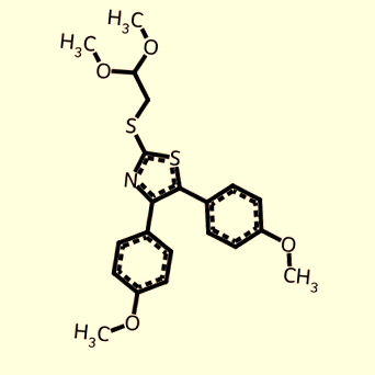 COc1ccc(-c2nc(SCC(OC)OC)sc2-c2ccc(OC)cc2)cc1